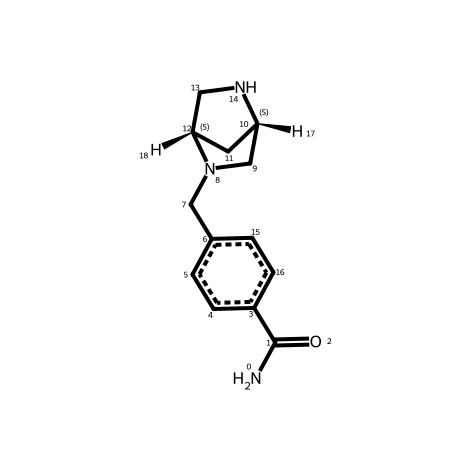 NC(=O)c1ccc(CN2C[C@@H]3C[C@H]2CN3)cc1